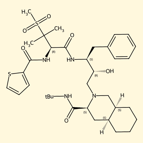 CC(C)(C)NC(=O)[C@@H]1C[C@@H]2CCCC[C@@H]2CN1C[C@@H](O)[C@H](Cc1ccccc1)NC(=O)[C@@H](NC(=O)c1cccs1)C(C)(C)S(C)(=O)=O